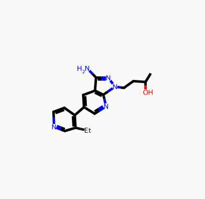 CCc1cnccc1-c1cnc2c(c1)c(N)nn2CCC(C)O